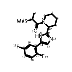 CSC(C)C(=O)N1CCCCC1c1ncc(-c2cc(F)ccc2F)[nH]1